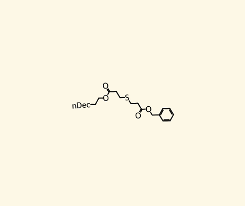 CCCCCCCCCCCCOC(=O)CCSCCC(=O)OCc1ccccc1